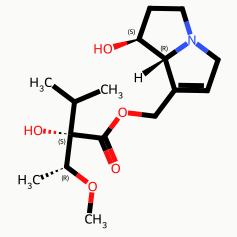 CO[C@H](C)[C@](O)(C(=O)OCC1=CCN2CC[C@H](O)[C@@H]12)C(C)C